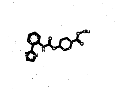 CC(C)(C)OC(=O)N1CCC(OC(=O)Nc2ccccc2-c2nccs2)CC1